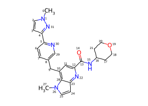 Cn1ccc(-c2ccc(Cc3cc(C(=O)NC4CCOCC4)nc4ccn(C)c34)cn2)n1